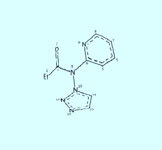 CCC(=O)N(c1ccccn1)n1ccnn1